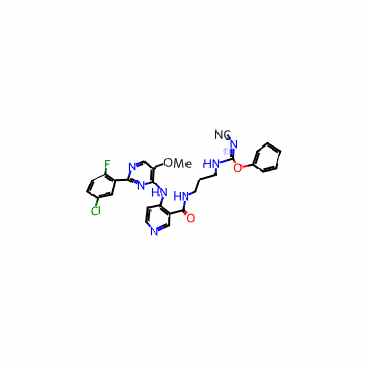 COc1cnc(-c2cc(Cl)ccc2F)nc1Nc1ccncc1C(=O)NCCCN/C(=N\C#N)Oc1ccccc1